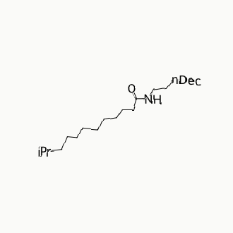 CCCCCCCCCCCCNC(=O)CCCCCCCCCC(C)C